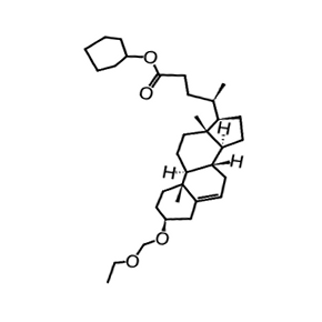 CCOCO[C@H]1CC[C@@]2(C)C(=CC[C@H]3[C@@H]4CC[C@H]([C@H](C)CCC(=O)OC5CCCCC5)[C@@]4(C)CC[C@@H]32)C1